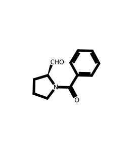 O=[C][C@@H]1CCCN1C(=O)c1ccccc1